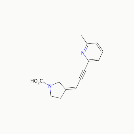 Cc1cccc(C#CC=C2CCN(C(=O)O)C2)n1